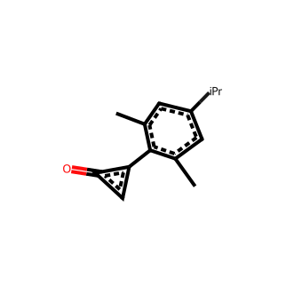 Cc1cc(C(C)C)cc(C)c1-c1cc1=O